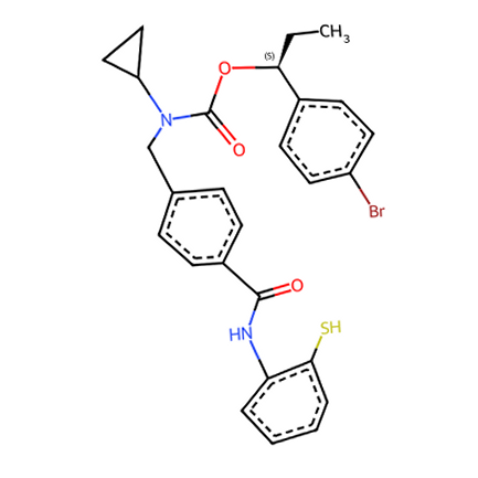 CC[C@H](OC(=O)N(Cc1ccc(C(=O)Nc2ccccc2S)cc1)C1CC1)c1ccc(Br)cc1